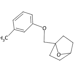 Cc1cccc(OCC23CCC(CC2)O3)c1